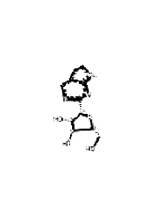 OC[C@H]1O[C@@H](c2ncc3cc[nH]c3n2)[C@@H](O)[C@@H]1O